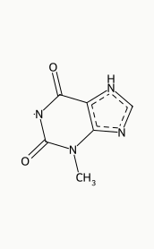 CN1C(=O)[N]C(=O)c2[nH]cnc21